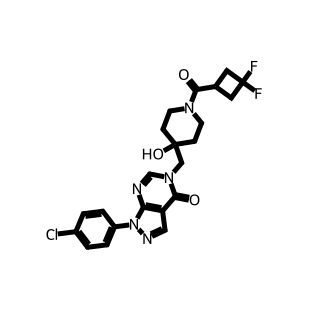 O=C(C1CC(F)(F)C1)N1CCC(O)(Cn2cnc3c(cnn3-c3ccc(Cl)cc3)c2=O)CC1